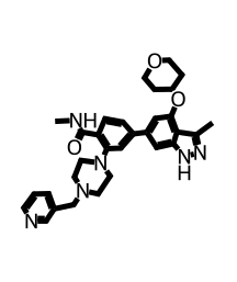 CNC(=O)c1ccc(-c2cc(OC3CCOCC3)c3c(C)n[nH]c3c2)cc1N1CCN(Cc2cccnc2)CC1